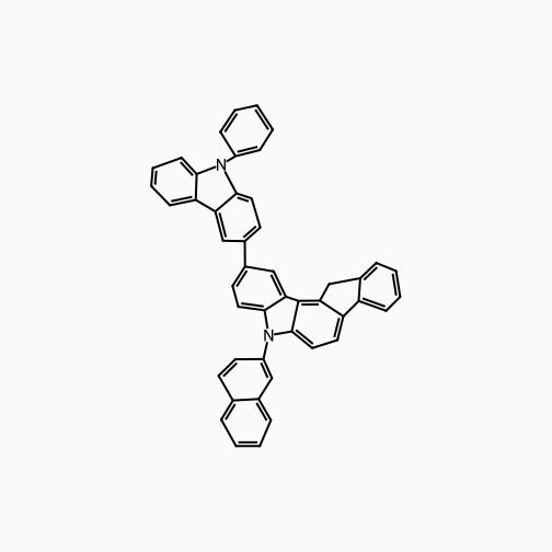 c1ccc(-n2c3ccccc3c3cc(-c4ccc5c(c4)c4c6c(ccc4n5-c4ccc5ccccc5c4)-c4ccccc4C6)ccc32)cc1